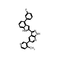 Cc1ccncc1-c1cnc2[nH]nc(-c3cc4c(-c5cccc(F)c5)cccc4[nH]3)c2c1